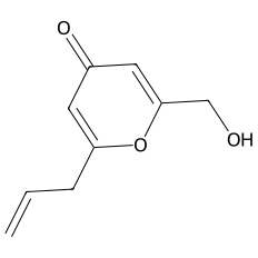 C=CCc1cc(=O)cc(CO)o1